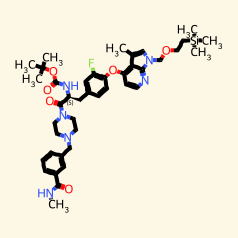 CNC(=O)c1cccc(CN2CCN(C(=O)[C@H](Cc3ccc(Oc4ccnc5c4c(C)cn5COCC[Si](C)(C)C)c(F)c3)NC(=O)OC(C)(C)C)CC2)c1